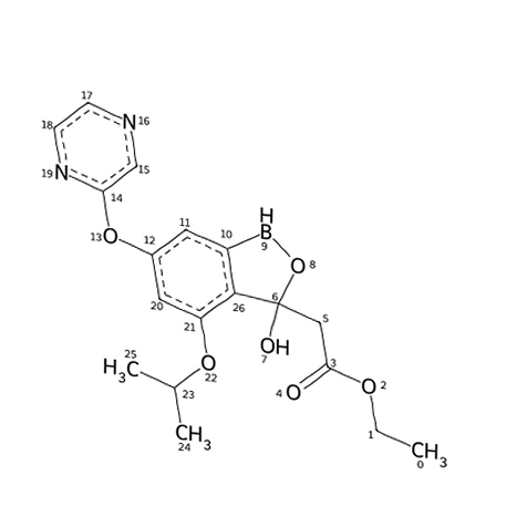 CCOC(=O)CC1(O)OBc2cc(Oc3cnccn3)cc(OC(C)C)c21